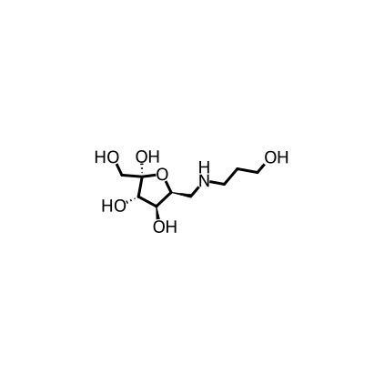 OCCCNC[C@@H]1O[C@](O)(CO)[C@@H](O)[C@@H]1O